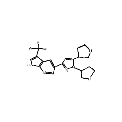 FC(F)(F)c1c[nH]c2ncc(-c3cc(C4CCOC4)n(C4CCOC4)n3)cc12